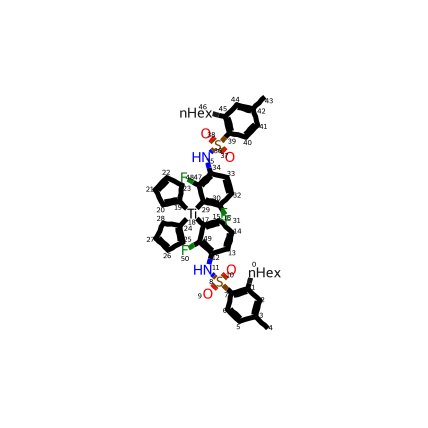 CCCCCCc1cc(C)ccc1S(=O)(=O)Nc1ccc(F)[c]([Ti]([C]2=CC=CC2)([C]2=CC=CC2)[c]2c(F)ccc(NS(=O)(=O)c3ccc(C)cc3CCCCCC)c2F)c1F